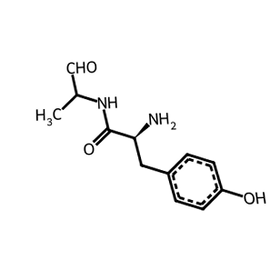 CC(C=O)NC(=O)[C@@H](N)Cc1ccc(O)cc1